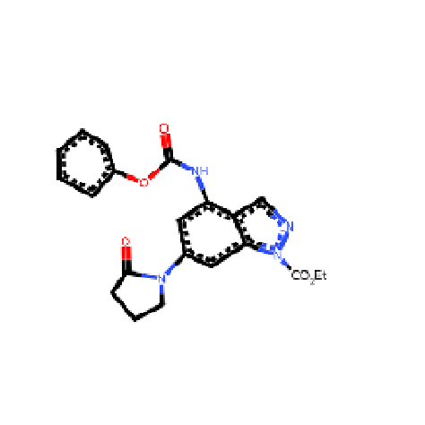 CCOC(=O)n1ncc2c(NC(=O)Oc3ccccc3)cc(N3CCCC3=O)cc21